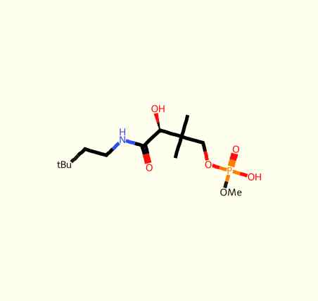 COP(=O)(O)OCC(C)(C)[C@H](O)C(=O)NCCC(C)(C)C